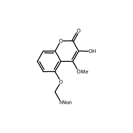 CCCCCCCCCCOc1cccc2oc(=O)c(O)c(OC)c12